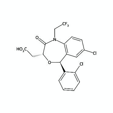 O=C(O)C[C@H]1O[C@H](c2ccccc2Cl)c2cc(Cl)ccc2N(CC(F)(F)F)C1=O